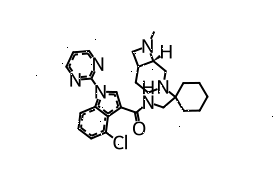 CN1CC2CCN(C3(CNC(=O)c4cn(-c5ncccn5)c5cccc(Cl)c45)CCCCC3)C[C@H]21